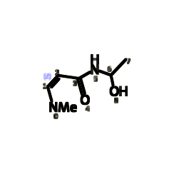 CN/C=C\C(=O)NC(C)O